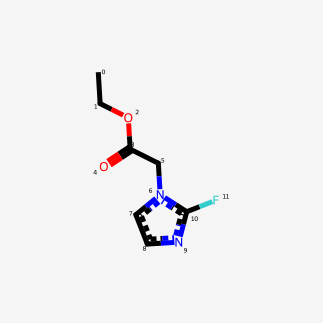 CCOC(=O)Cn1ccnc1F